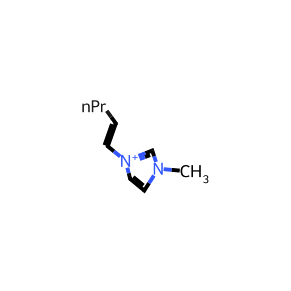 CCCC=C[n+]1ccn(C)c1